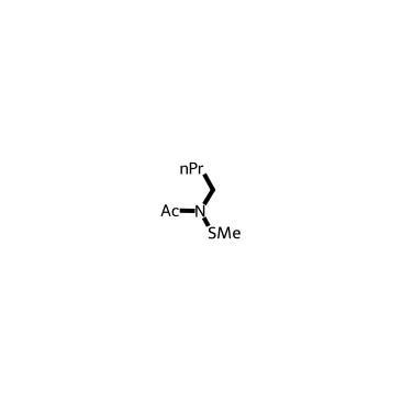 CCCCN(SC)C(C)=O